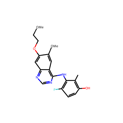 COCCOc1cc2ncnc(Nc3c(F)ccc(O)c3C)c2cc1OC